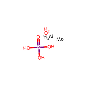 O.O=P(O)(O)O.[AlH3].[Mo]